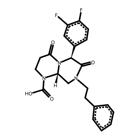 O=C1[C@H](c2ccc(F)c(F)c2)N2C(=O)CCN(C(=O)O)[C@H]2CN1CCc1ccccc1